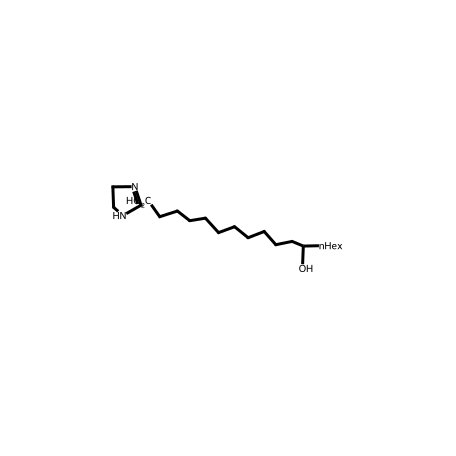 C1=NCCN1.CCCCCCC(O)CCCCCCCCCCC(=O)O